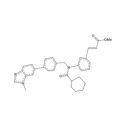 COC(=O)/C=C/c1cccc(N(Cc2ccc(-c3ccc4ncn(C)c4c3)cc2)C(=O)C2CCCCC2)c1